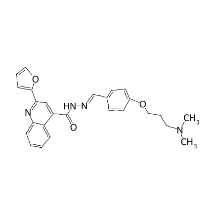 CN(C)CCCOc1ccc(/C=N/NC(=O)c2cc(-c3ccco3)nc3ccccc23)cc1